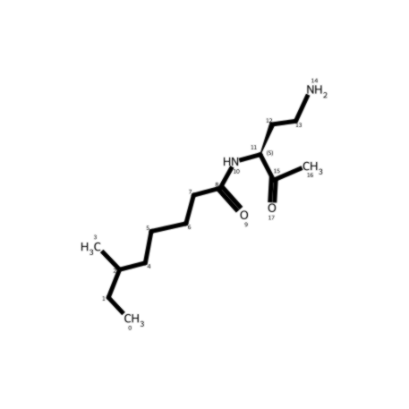 CCC(C)CCCCC(=O)N[C@@H](CCN)C(C)=O